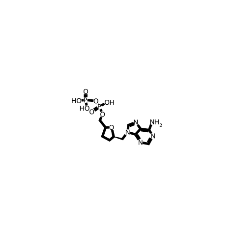 Nc1ncnc2c1ncn2C[C@H]1CCC(COP(=O)(O)OP(=O)(O)O)O1